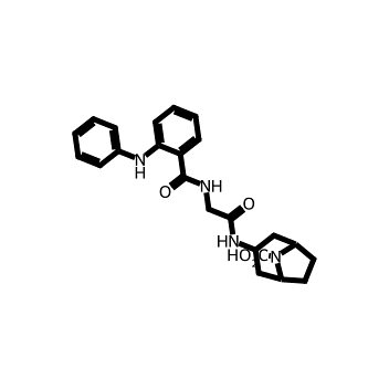 O=C(CNC(=O)c1ccccc1Nc1ccccc1)NC1CC2CCC(C1)N2C(=O)O